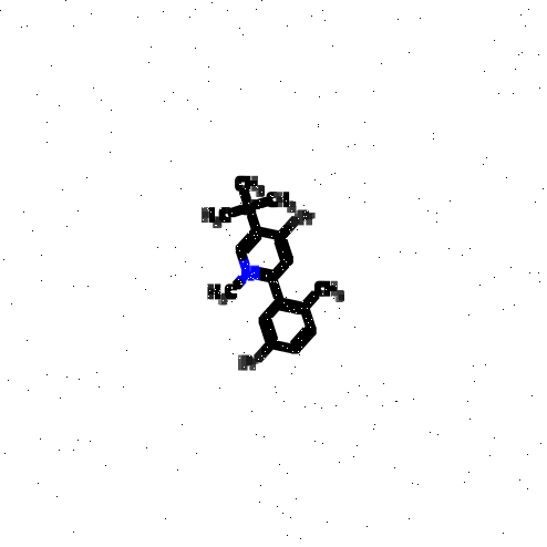 Cc1ccc(C(C)C)cc1-c1cc(C(C)C)c([Si](C)(C)C)c[n+]1C